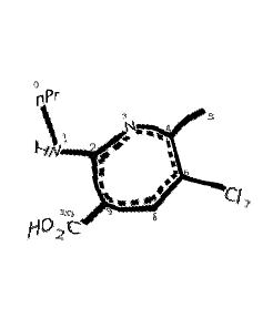 CCCNc1nc(C)c(Cl)cc1C(=O)O